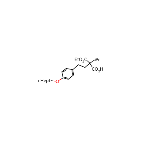 CCCCCCCOc1ccc(CCC(C(=O)O)(C(=O)OCC)C(C)C)cc1